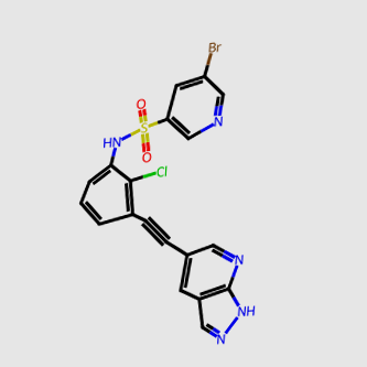 O=S(=O)(Nc1cccc(C#Cc2cnc3[nH]ncc3c2)c1Cl)c1cncc(Br)c1